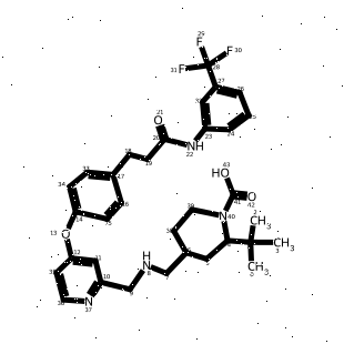 CC(C)(C)C1CC(CNCc2cc(Oc3ccc(CCC(=O)Nc4cccc(C(F)(F)F)c4)cc3)ccn2)CCN1C(=O)O